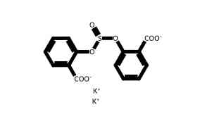 O=C([O-])c1ccccc1OS(=O)Oc1ccccc1C(=O)[O-].[K+].[K+]